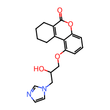 O=c1oc2cccc(OCC(O)Cn3ccnc3)c2c2c1CCCC2